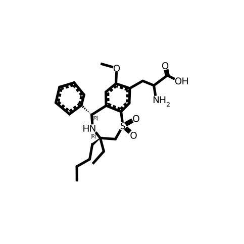 CCCC[C@]1(CC)CS(=O)(=O)c2cc(CC(N)C(=O)O)c(OC)cc2[C@@H](c2ccccc2)N1